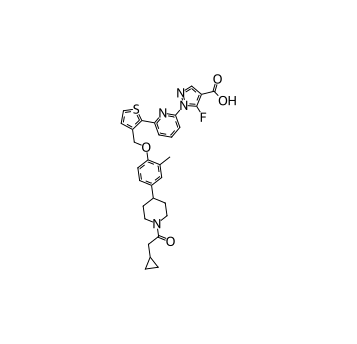 Cc1cc(C2CCN(C(=O)CC3CC3)CC2)ccc1OCc1ccsc1-c1cccc(-n2ncc(C(=O)O)c2F)n1